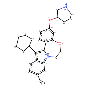 Cc1ccc2c(C3CCCCC3)c3n(c2c1)CCOc1cc(OC2CCCNC2)ccc1-3